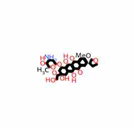 C1CCOC1.COc1cccc2c1C(=O)c1c(O)c3c(c(O)c1C2=O)C[C@@](O)(C(=O)CO)C[C@@H]3OC1CC(N)C(O)C(C)O1